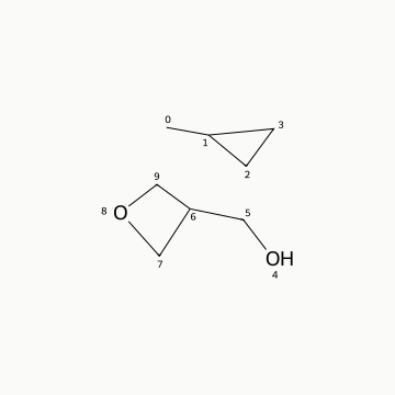 CC1CC1.OCC1COC1